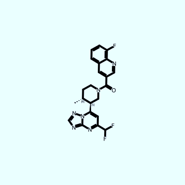 C[C@@H]1CCN(C(=O)c2cnc3c(F)cccc3c2)C[C@H]1c1cc(C(F)F)nc2ncnn12